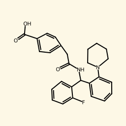 O=C(Cc1ccc(C(=O)O)cc1)NC(c1ccccc1F)c1ccccc1N1CCCCC1